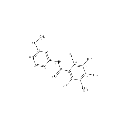 COc1cc(NC(=O)c2c(F)c(C)c(F)c(F)c2F)ccn1